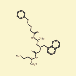 CC[C@H](C)[C@@H](CN(CC(=O)N[C@@H](CCSC)C(=O)O)Cc1cccc2ccccc12)NC(=O)CCSCc1ccccc1